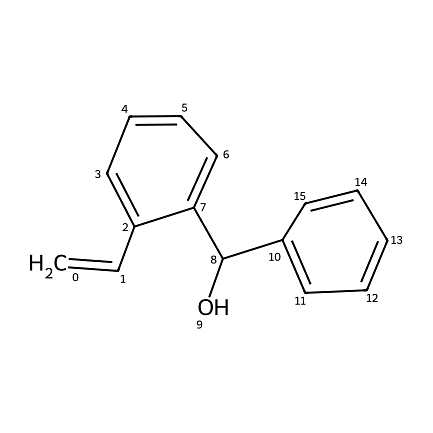 C=Cc1ccccc1C(O)c1ccccc1